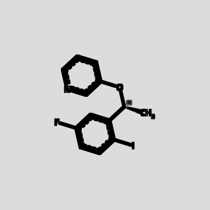 C[C@@H](Oc1cccnc1)c1cc(F)ccc1I